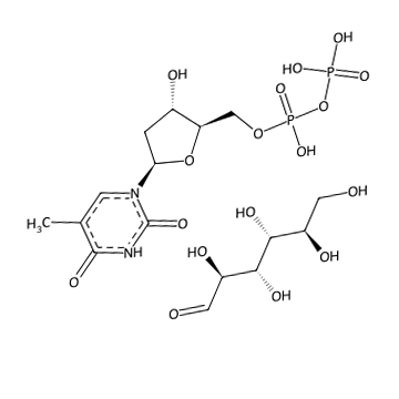 Cc1cn([C@H]2C[C@H](O)[C@@H](COP(=O)(O)OP(=O)(O)O)O2)c(=O)[nH]c1=O.O=C[C@@H](O)[C@@H](O)[C@H](O)[C@H](O)CO